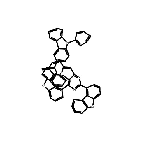 C=C(/C=C\c1cc2nc(-c3cccc4oc5c(c34)C=C=C=C5)nc(-c3cccc4oc5ccc(-c6ccc7c(c6)c6ccccc6n7-c6ccccc6)cc5c34)c2o1)c1ccccc1